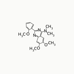 COc1cc2nc(-c3ccccc3OC)nc(N(C)C)c2cc1OC